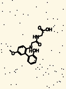 COc1ccc(NCC(=O)NCC(=O)O)c(-c2ccccc2O)c1